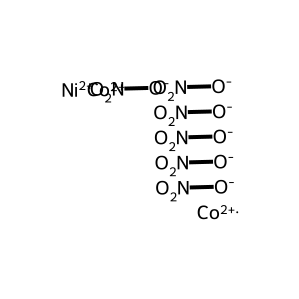 O=[N+]([O-])[O-].O=[N+]([O-])[O-].O=[N+]([O-])[O-].O=[N+]([O-])[O-].O=[N+]([O-])[O-].O=[N+]([O-])[O-].[Co+2].[Co+2].[Ni+2]